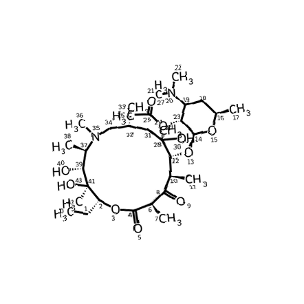 CC[C@H]1OC(=O)[C@H](C)C(=O)[C@H](C)[C@@H](O[C@@H]2O[C@H](C)CC(N(C)C)[C@H]2OC(C)=O)[C@](C)(O)C[C@@H](C)CN(C)[C@H](C)[C@@H](O)[C@]1(C)O